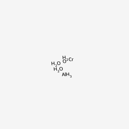 O.O.O.[AlH3].[Cr]